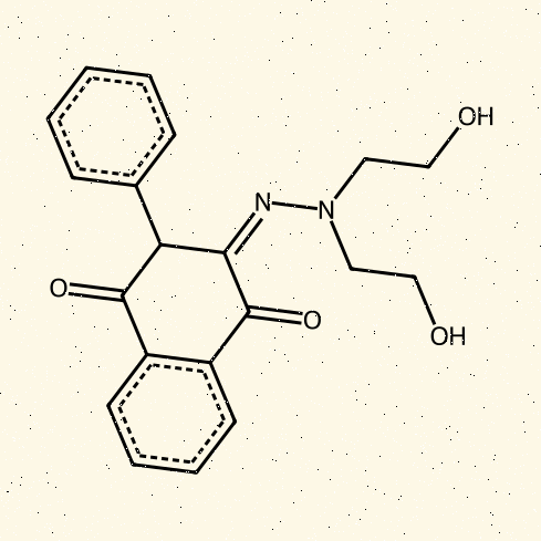 O=C1C(=NN(CCO)CCO)C(c2ccccc2)C(=O)c2ccccc21